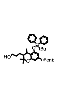 CCCCCc1cc2c(c(O[Si](c3ccccc3)(c3ccccc3)C(C)(C)C)c1)C(C)C(CCCO)C(C)(C)O2